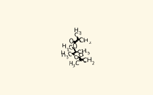 C=C(C)C(=O)OC(C)C(C)C(C)OC(=O)C(=C)C